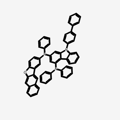 c1ccc(-c2ccc(-n3c4ccccc4c4c(N(c5ccccc5)c5ccccc5)cc(N(c5ccccc5)c5ccc6oc7cc8ccccc8cc7c6c5)cc43)cc2)cc1